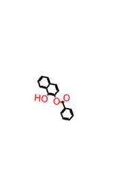 O=C(Oc1ccc2ccccc2c1O)c1ccccc1